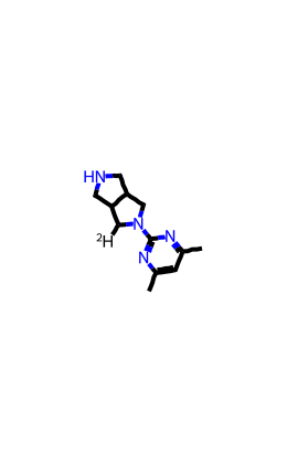 [2H]C1C2CNCC2CN1c1nc(C)cc(C)n1